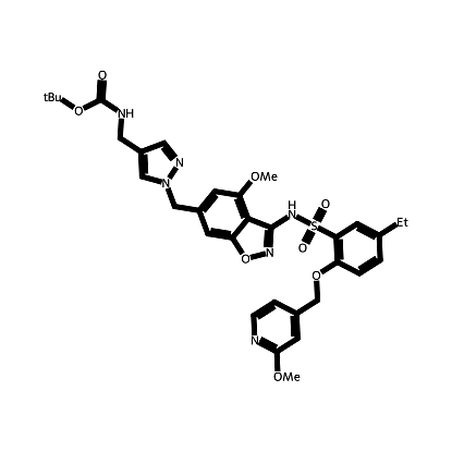 CCc1ccc(OCc2ccnc(OC)c2)c(S(=O)(=O)Nc2noc3cc(Cn4cc(CNC(=O)OC(C)(C)C)cn4)cc(OC)c23)c1